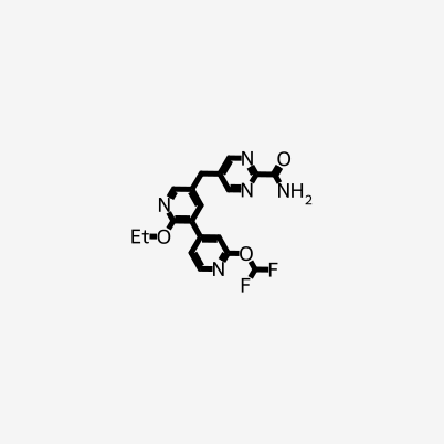 CCOc1ncc(Cc2cnc(C(N)=O)nc2)cc1-c1ccnc(OC(F)F)c1